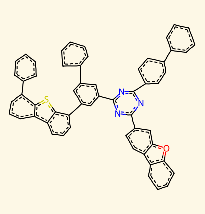 c1ccc(-c2ccc(-c3nc(-c4cc(-c5ccccc5)cc(-c5cccc6c5sc5c(-c7ccccc7)cccc56)c4)nc(-c4ccc5c(c4)oc4ccccc45)n3)cc2)cc1